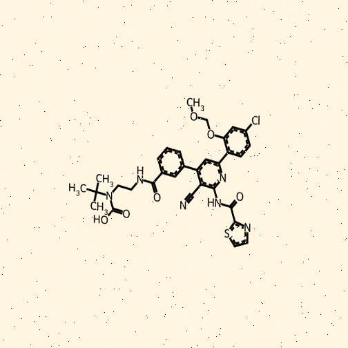 COCOc1cc(Cl)ccc1-c1cc(-c2cccc(C(=O)NCCN(C(=O)O)C(C)(C)C)c2)c(C#N)c(NC(=O)c2nccs2)n1